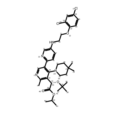 Cc1ncc(-c2ccc(NCCOc3ccc(Cl)cc3Cl)cn2)c(N2CCC(C)(C)CC2)c1[C@H](OC(C)(C)C)C(=O)OC(C)C